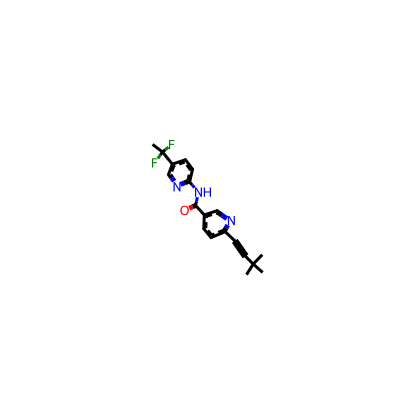 CC(C)(C)C#Cc1ccc(C(=O)Nc2ccc(C(C)(F)F)cn2)cn1